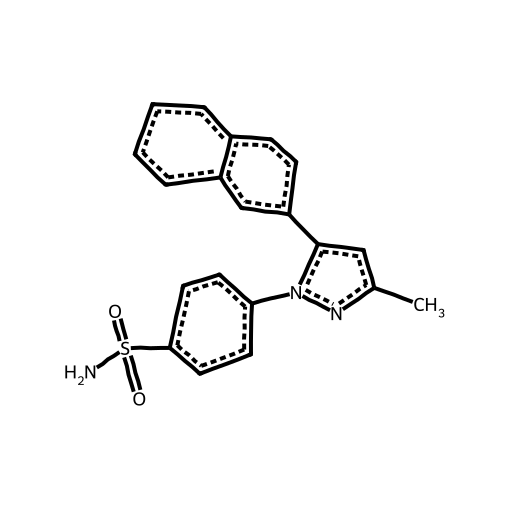 Cc1cc(-c2ccc3ccccc3c2)n(-c2ccc(S(N)(=O)=O)cc2)n1